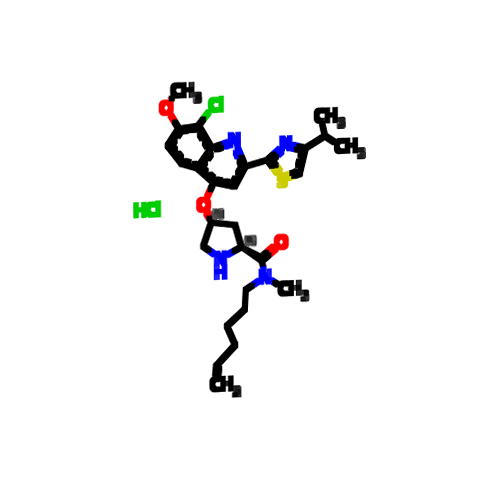 C=CCCCCN(C)C(=O)[C@@H]1C[C@H](Oc2cc(-c3nc(C(C)C)cs3)nc3c(Cl)c(OC)ccc23)CN1.Cl